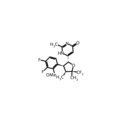 COc1c([C@H]2[C@H](c3cc(=O)nc(C)[nH]3)O[C@@](C)(C(F)(F)F)[C@H]2C)ccc(F)c1F